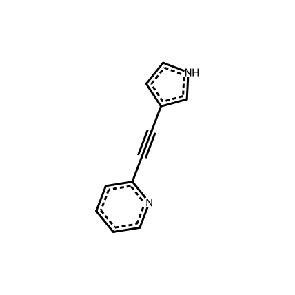 C(#Cc1ccccn1)c1cc[nH]c1